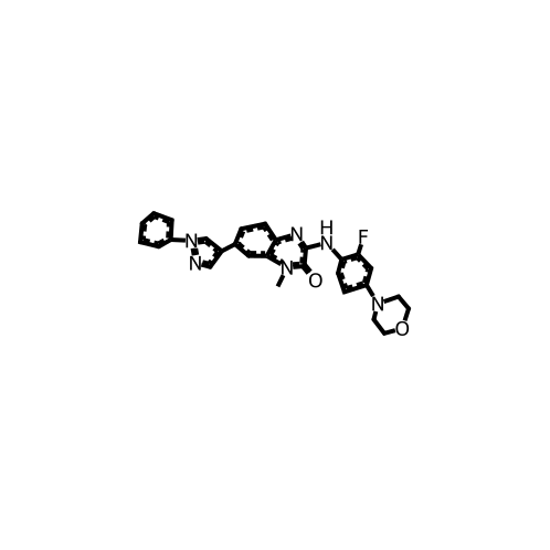 Cn1c(=O)c(Nc2ccc(N3CCOCC3)cc2F)nc2ccc(-c3cnn(-c4ccccc4)c3)cc21